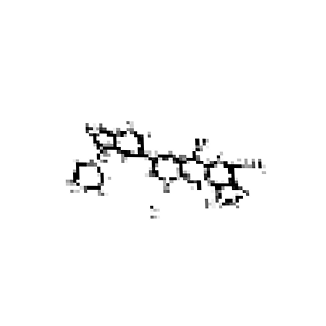 CCC(c1nc(N)c2nc[nH]c2n1)c1cc(-c2cnc3[nH]nc(N4C=CN=CC4)c3c2)cnc1Cl.[N]